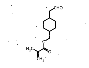 C=C(C)C(=O)OCC1CCC(CC=O)CC1